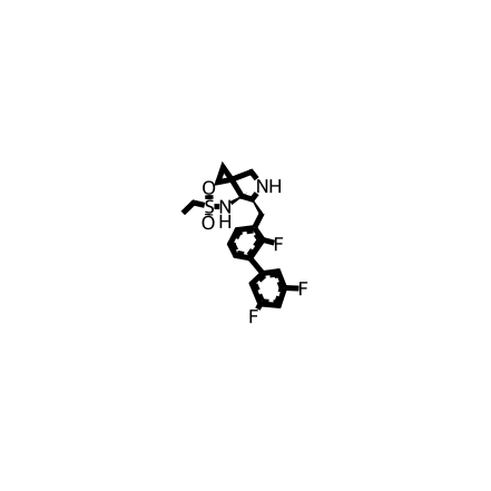 CCS(=O)(=O)N[C@@H]1[C@H](Cc2cccc(-c3cc(F)cc(F)c3)c2F)NCC12CC2